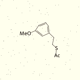 COc1cccc(CCSC(C)=O)c1